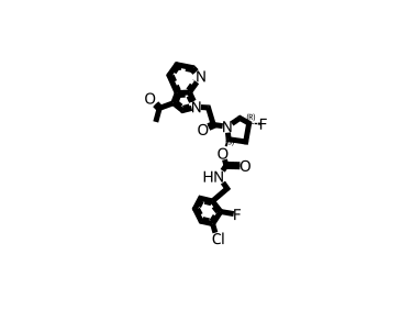 CC(=O)c1cn(CC(=O)N2C[C@H](F)C[C@@H]2OC(=O)NCc2cccc(Cl)c2F)c2ncccc12